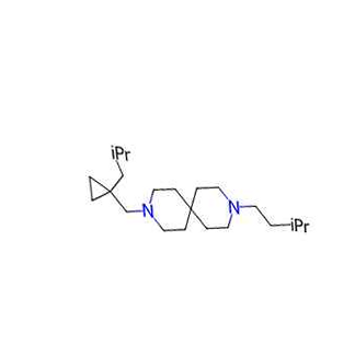 CC(C)CCN1CCC2(CC1)CCN(CC1(CC(C)C)CC1)CC2